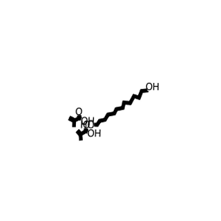 C=C(C)C(=O)O.C=C(C)C(=O)O.OCCCCCCCCCCCCCO